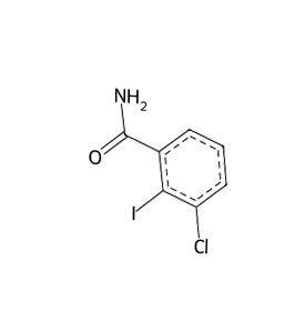 NC(=O)c1cccc(Cl)c1I